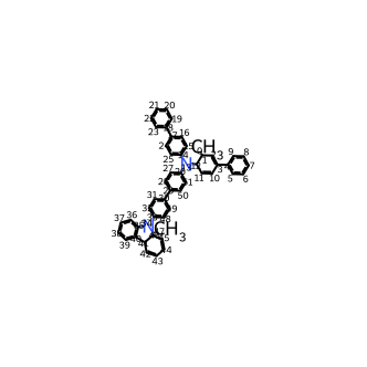 CC1C=C(c2ccccc2)C=CC1N(c1ccc(-c2ccccc2)cc1)c1ccc(-c2ccc(N3c4ccccc4C4C=CC=CC43C)cc2)cc1